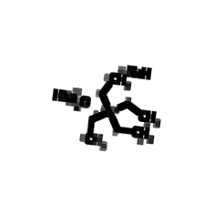 CC[N+](CC)(CC)CC.O.[NaH].[NaH]